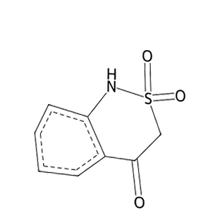 O=C1CS(=O)(=O)Nc2ccccc21